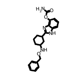 NC(=O)Oc1cccc2[nH]c(C3CCCC(NOCc4ccccc4)C3)nc12